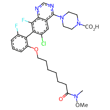 CON(C)C(=O)CCCCCCOc1cccc(F)c1-c1c(Cl)cc2c(N3CCN(C(=O)O)CC3)ncnc2c1F